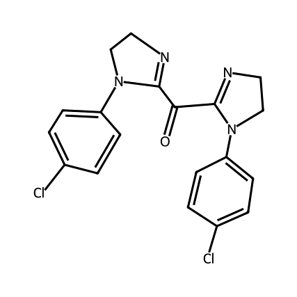 O=C(C1=NCCN1c1ccc(Cl)cc1)C1=NCCN1c1ccc(Cl)cc1